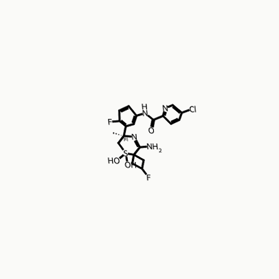 C[C@@]1(c2cc(NC(=O)c3ccc(Cl)cn3)ccc2F)CS(O)(O)C2(CC(F)C2)C(N)=N1